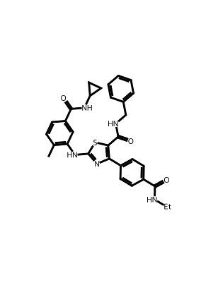 CCNC(=O)c1ccc(-c2nc(Nc3cc(C(=O)NC4CC4)ccc3C)sc2C(=O)NCc2ccccc2)cc1